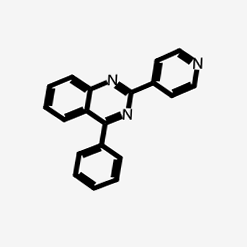 c1ccc(-c2nc(-c3ccncc3)nc3ccccc23)cc1